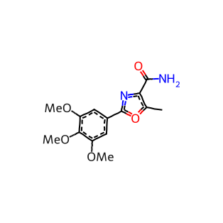 COc1cc(-c2nc(C(N)=O)c(C)o2)cc(OC)c1OC